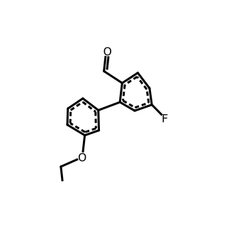 CCOc1cccc(-c2cc(F)ccc2C=O)c1